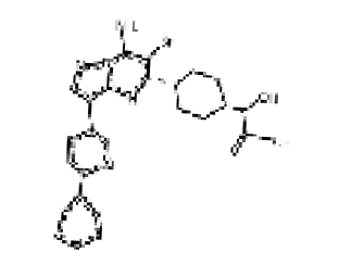 Nc1c(Br)c([C@H]2CC[C@H](C(O)C(=O)O)CC2)nc2c(-c3ccc(-c4ccccc4)nc3)cnn12